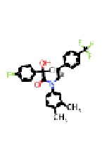 Cc1ccc(N(CCc2ccc(C(F)(F)F)cc2)C(=O)[C@@](C)(O)c2ccc(F)cc2)cc1C